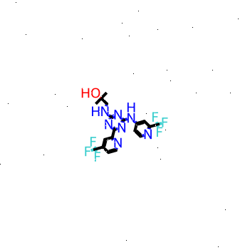 CC(C)(O)CNc1nc(Nc2ccnc(C(F)(F)F)c2)nc(-c2cc(C(F)(F)F)ccn2)n1